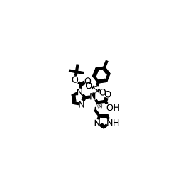 Cc1ccc(S(=O)(=O)N(c2nccn2C(=O)OC(C)(C)C)[C@@H](Cc2c[nH]cn2)C(=O)O)cc1